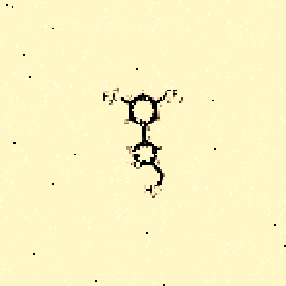 OCc1cc(-c2cc(C(F)(F)F)cc(C(F)(F)F)c2)no1